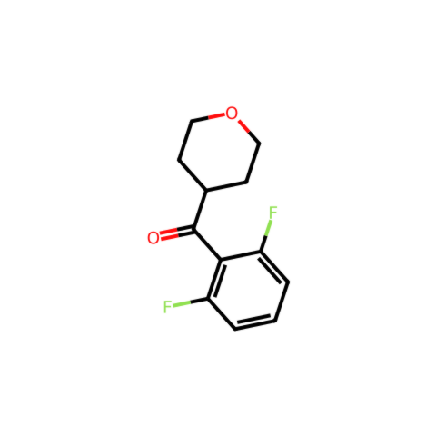 O=C(c1c(F)cccc1F)C1CCOCC1